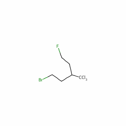 FCCC(CCBr)C(Cl)(Cl)Cl